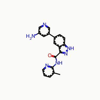 Cc1cccnc1NC(=O)c1n[nH]c2ccc(-c3cncc(N)c3)cc12